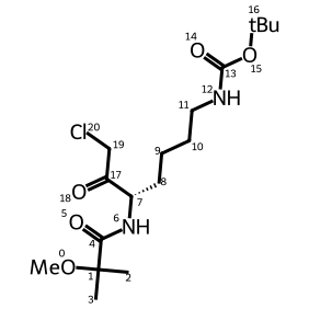 COC(C)(C)C(=O)N[C@@H](CCCCNC(=O)OC(C)(C)C)C(=O)CCl